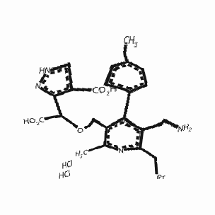 Cc1ccc(-c2c(COC(C(=O)O)c3n[nH]cc3C(=O)O)c(C)nc(CC(C)C)c2CN)cc1.Cl.Cl